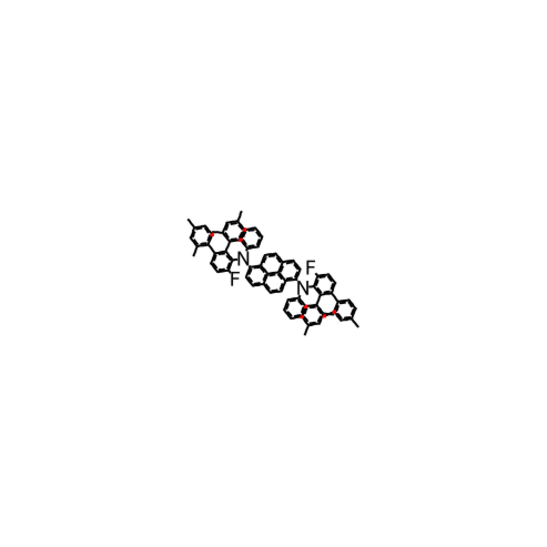 Cc1ccc(-c2ccc(F)c(N(c3ccccc3)c3ccc4ccc5c(N(c6ccccc6)c6c(F)ccc(-c7ccc(C)cc7C)c6-c6ccc(C)cc6C)ccc6ccc3c4c65)c2-c2ccc(C)cc2C)c(C)c1